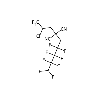 N#CC(C#N)(CC(Cl)C(F)(F)F)CC(F)(F)C(F)(F)C(F)(F)C(F)F